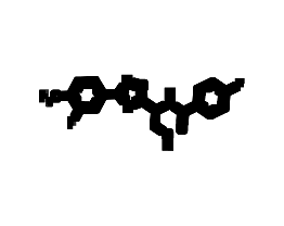 O=C(NC(CO)c1nc(-c2ccc(C(F)(F)F)c(F)c2)no1)c1ccc(F)cc1